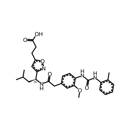 COc1cc(CC(=O)N[C@@H](CC(C)C)c2cc(CCC(=O)O)on2)ccc1NC(=O)Nc1ccccc1C